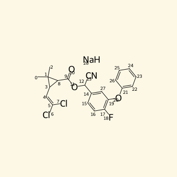 CC1(C)C(C=C(Cl)Cl)C1C(=O)OC(C#N)c1ccc(F)c(Oc2ccccc2)c1.[NaH]